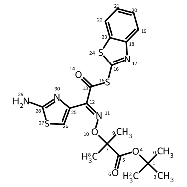 CC(C)(C)OC(=O)C(C)(C)ON=C(C(=O)Sc1nc2ccccc2s1)c1csc(N)n1